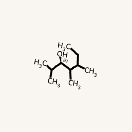 CCC(C)C(C)[C@H](O)C(C)C